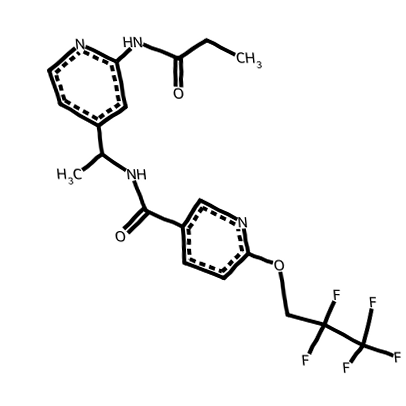 CCC(=O)Nc1cc(C(C)NC(=O)c2ccc(OCC(F)(F)C(F)(F)F)nc2)ccn1